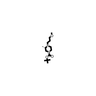 COCCCN1CCN(C(=O)OC(C)(C)C)C[C@@H]1C